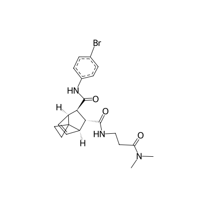 CN(C)C(=O)CCNC(=O)[C@H]1[C@H](C(=O)Nc2ccc(Br)cc2)[C@@H]2C=C[C@H]1C21CC1